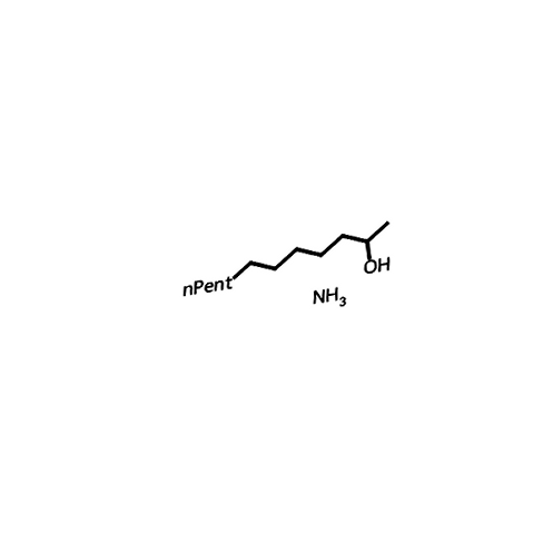 CCCCCCCCCCC(C)O.N